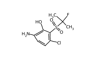 CC(C)(F)S(=O)(=O)c1c(Cl)ccc(N)c1O